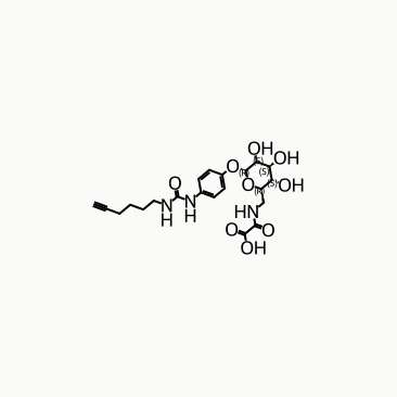 C#CCCCCNC(=O)Nc1ccc(O[C@H]2O[C@H](CNC(=O)C(=O)O)[C@@H](O)[C@H](O)[C@@H]2O)cc1